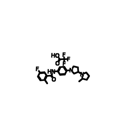 Cc1ccc(F)cc1C(=O)Nc1ccc(N2CCC(N3CCCC3C)C2)cc1.O=C(O)C(F)(F)F